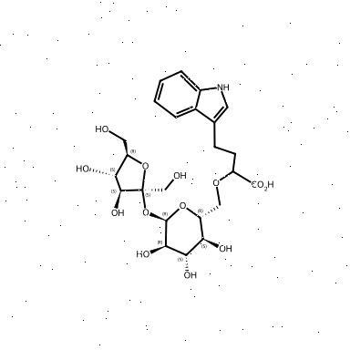 O=C(O)C(CCc1c[nH]c2ccccc12)OC[C@H]1O[C@H](O[C@]2(CO)O[C@H](CO)[C@@H](O)[C@@H]2O)[C@H](O)[C@@H](O)[C@@H]1O